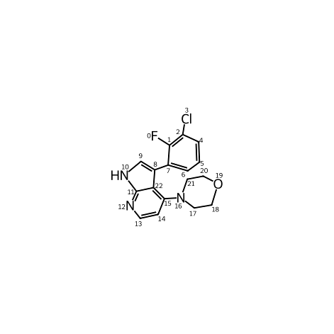 Fc1c(Cl)cccc1-c1c[nH]c2nccc(N3CCOCC3)c12